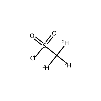 [2H]C([2H])([2H])S(=O)(=O)Cl